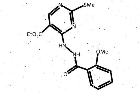 CCOC(=O)c1cnc(SC)nc1NNC(=O)c1ccccc1OC